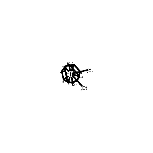 CC[C]12[CH]3[CH]4[CH]5[C]1(CC)[Hf]43521678[CH]2[CH]1[CH]6[CH]7[CH]28